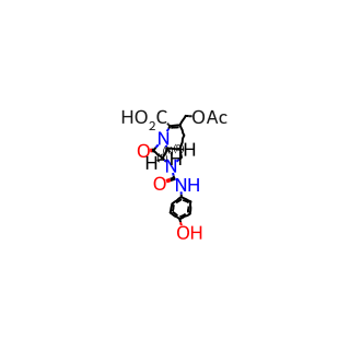 CC(=O)OCC1=C(C(=O)O)N2C(=O)[C@@H]3[C@H]2[C@H](C1)CN3C(=O)Nc1ccc(O)cc1